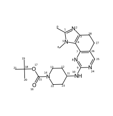 Cc1nc2c(n1C)-c1nc(NC3CCN(C(=O)OC(C)(C)C)CC3)ncc1CC2